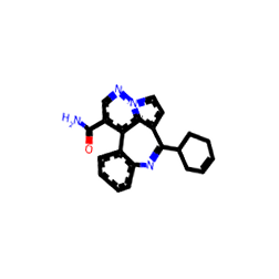 NC(=O)c1cnn2ccc3c2c1-c1ccccc1N=C3C1CC=CCC1